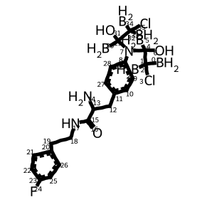 BC(B)(Cl)C(B)(O)N(c1ccc(CC(N)C(=O)NCCc2ccc(F)cc2)cc1)C(B)(O)C(B)(B)Cl